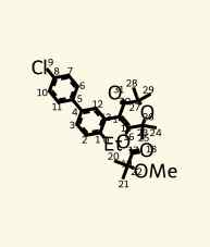 CCc1ccc(-c2ccc(Cl)cc2)cc1C1=C(OC(=O)C(C)(C)OC)C(C)(C)OC(C)(C)C1=O